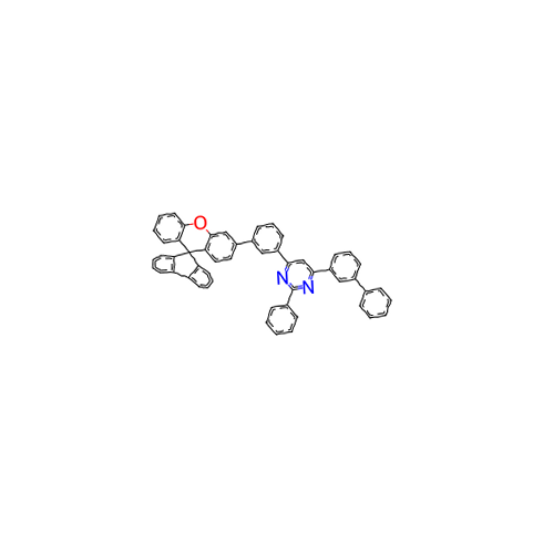 c1ccc(-c2cccc(-c3cc(-c4cccc(-c5ccc6c(c5)Oc5ccccc5C65c6ccccc6-c6ccccc65)c4)nc(-c4ccccc4)n3)c2)cc1